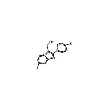 Cc1ccn2c(CO)c(-c3ccc(Br)cc3)nc2c1